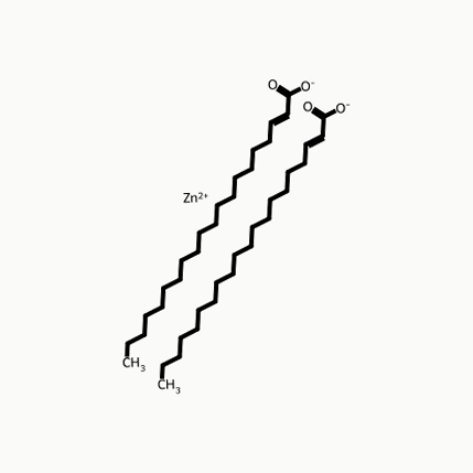 CCCCCCCCCCCCCCCCCC=CC(=O)[O-].CCCCCCCCCCCCCCCCCC=CC(=O)[O-].[Zn+2]